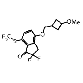 COC1CC(COc2ccc(SC(F)(F)F)c3c2CC(F)(F)C3=O)C1